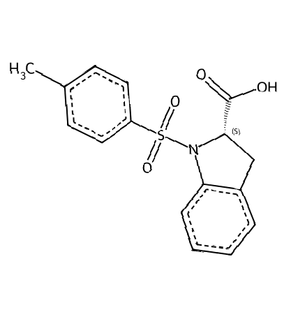 Cc1ccc(S(=O)(=O)N2c3ccccc3C[C@H]2C(=O)O)cc1